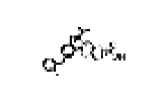 CC(C)c1nc2ccc(Cc3ccccc3F)cc2c(=O)n1C[C@@H]1CCCN(C(=O)O)C1